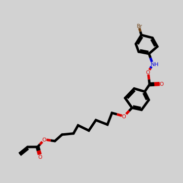 C=CC(=O)OCCCCCCCCOc1ccc(C(=O)ONc2ccc(Br)cc2)cc1